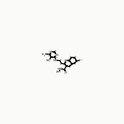 CC(C)NC(=O)c1cc2cc(F)ccc2nc1CCNc1ncnc(N)c1C#N